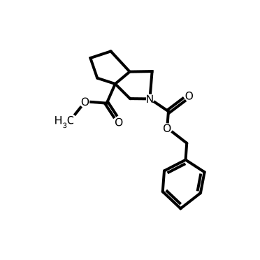 COC(=O)C12CCCC1CN(C(=O)OCc1ccccc1)C2